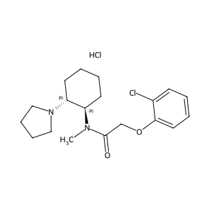 CN(C(=O)COc1ccccc1Cl)[C@@H]1CCCC[C@H]1N1CCCC1.Cl